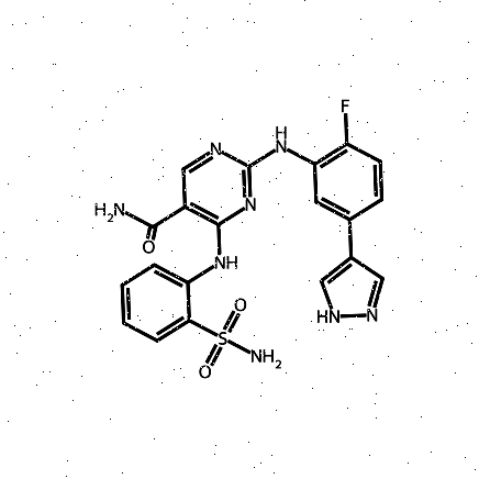 NC(=O)c1cnc(Nc2cc(-c3cn[nH]c3)ccc2F)nc1Nc1ccccc1S(N)(=O)=O